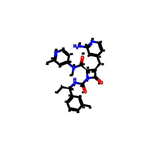 CC[C@@H](NC(=O)N1C(=O)[C@H](Cc2ccnc(N)c2)[C@H]1C(=O)N(C)c1ccnc(C)c1)c1cccc(C)c1